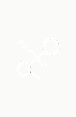 CCC(C1=[C]([Ti])CC=C1)(c1ccccc1)C(C)C.Cl.Cl